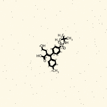 Cc1ccc(/C(=C(/CCO)C(=O)O)c2ccc(S(=O)(=O)NC(C)(C)C)cc2)cc1